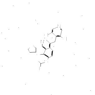 FC(F)Oc1ccc2c(Cc3c(Cl)cncc3Cl)nncc2c1OC1CCOC1